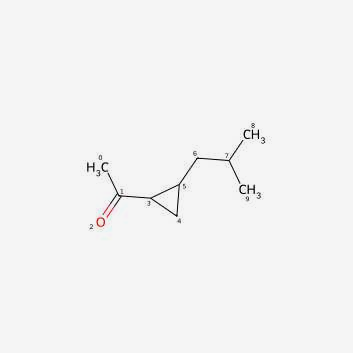 CC(=O)C1CC1CC(C)C